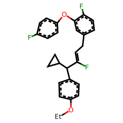 CCOc1ccc(C(C(F)=CCc2ccc(F)c(Oc3ccc(F)cc3)c2)C2CC2)cc1